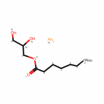 CCCCCCCCCCCCCCC(=O)OCC(O)CO.P